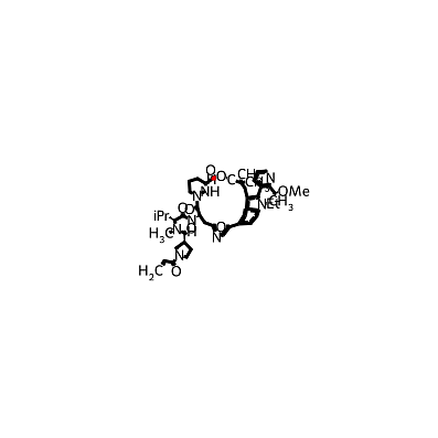 C=CC(=O)N1CC[C@H](C(=O)N(C)[C@H](C(=O)N[C@H]2Cc3ncc(o3)-c3ccc4c(c3)c(c(-c3cccnc3[C@H](C)OC)n4CC)CC(C)(C)COC(=O)[C@@H]3CCCN(N3)C2=O)C(C)C)C1